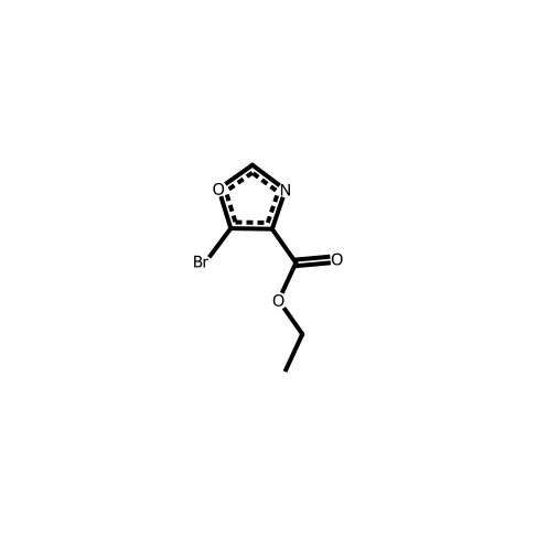 CCOC(=O)c1ncoc1Br